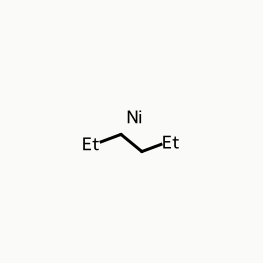 [CH2]CCCCC.[Ni]